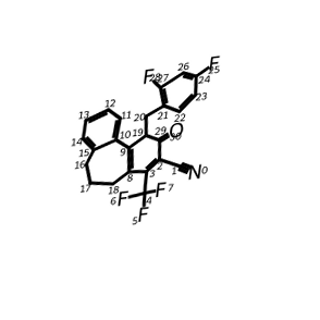 N#CC1=C(C(F)(F)F)C2=C(c3ccccc3CCC2)C(Cc2ccc(F)cc2F)C1=O